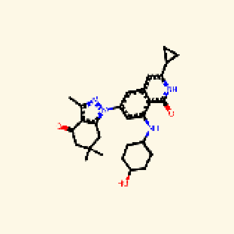 Cc1nn(-c2cc(NC3CCC(O)CC3)c3c(=O)[nH]c(C4CC4)cc3c2)c2c1C(=O)CC(C)(C)C2